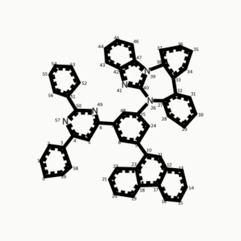 c1ccc(-c2cc(-c3cc(-c4cc5ccccc5c5ccccc45)cc(N4c5ccccc5-c5ccccc5-n5c4nc4ccccc45)c3)nc(-c3ccccc3)n2)cc1